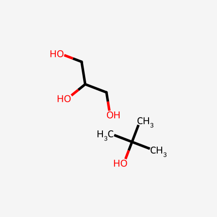 CC(C)(C)O.OCC(O)CO